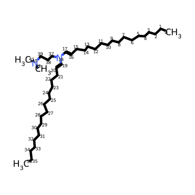 CCCCCCCCCCCCCCCC/C=C/N(/C=C/CCCCCCCCCCCCCCCC)CCCN(C)C